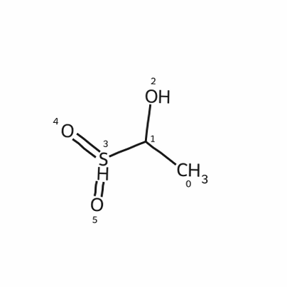 CC(O)[SH](=O)=O